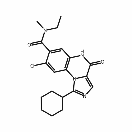 CCN(C)C(=O)c1cc2[nH]c(=O)c3cnc(C4CCCCC4)n3c2cc1Cl